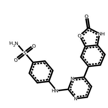 NS(=O)(=O)c1ccc(Nc2nccc(-c3ccc4[nH]c(=O)oc4c3)n2)cc1